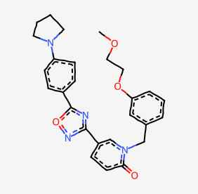 COCCOc1cccc(Cn2cc(-c3noc(-c4ccc(N5CCCC5)cc4)n3)ccc2=O)c1